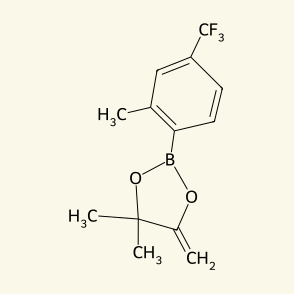 C=C1OB(c2ccc(C(F)(F)F)cc2C)OC1(C)C